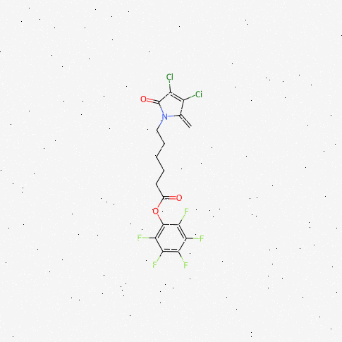 C=C1C(Cl)=C(Cl)C(=O)N1CCCCCC(=O)Oc1c(F)c(F)c(F)c(F)c1F